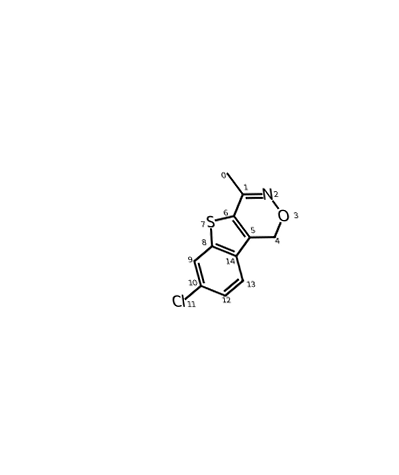 CC1=NOCc2c1sc1cc(Cl)ccc21